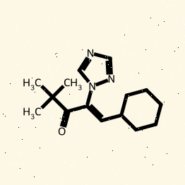 CC(C)(C)C(=O)C(=CC1CCCCC1)n1cncn1